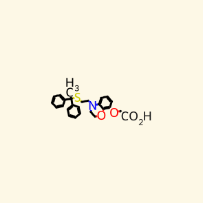 CC(SCCN1CCOc2c(OCC(=O)O)cccc21)(c1ccccc1)c1ccccc1